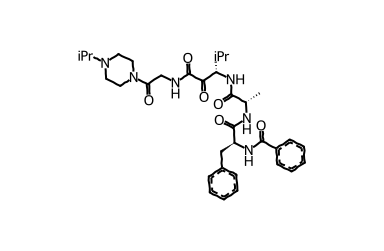 CC(C)[C@H](NC(=O)[C@H](C)NC(=O)[C@H](Cc1ccccc1)NC(=O)c1ccccc1)C(=O)C(=O)NCC(=O)N1CCN(C(C)C)CC1